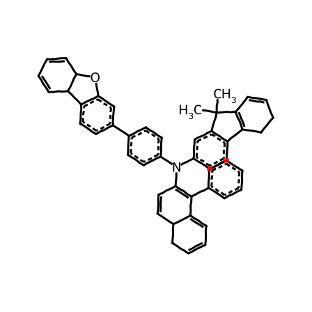 CC1(C)C2=C(CCC=C2)c2ccc(N(C3=C(c4ccccc4)C4=CC=CCC4C=C3)c3ccc(-c4ccc5c(c4)OC4C=CC=CC54)cc3)cc21